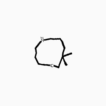 CC1(C)CCCCCNCCC1